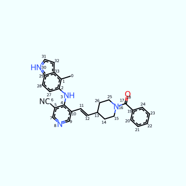 Cc1c(Nc2c(C#N)cncc2C=CC2CCN(C(=O)c3ccccc3)CC2)ccc2[nH]ccc12